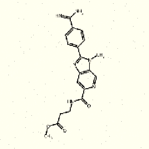 COC(=O)CCNC(=O)c1cc2nc(-c3ccc(C(=N)N)cc3)n(C)c2cn1